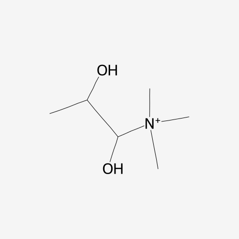 CC(O)C(O)[N+](C)(C)C